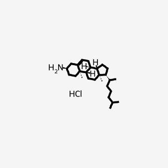 CC(C)CCCC(C)[C@H]1CC[C@H]2[C@@H]3CC=C4C[C@H](N)CC[C@]4(C)[C@H]3CC[C@]12C.Cl